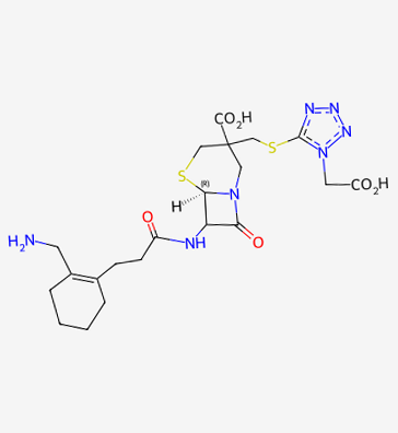 NCC1=C(CCC(=O)NC2C(=O)N3CC(CSc4nnnn4CC(=O)O)(C(=O)O)CS[C@H]23)CCCC1